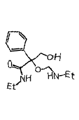 CCNCOC(CO)(C(=O)NCC)c1ccccc1